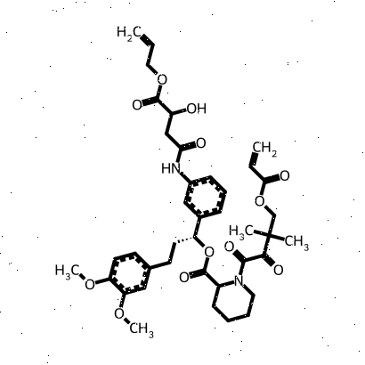 C=CCOC(=O)C(O)CC(=O)Nc1cccc([C@@H](CCc2ccc(OC)c(OC)c2)OC(=O)C2CCCCN2C(=O)C(=O)C(C)(C)COC(=O)C=C)c1